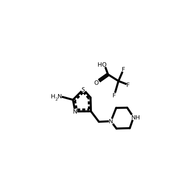 Nc1nc(CN2CCNCC2)cs1.O=C(O)C(F)(F)F